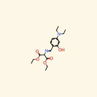 CCOC(=O)C(/N=C/c1ccc(N(CC)CC)cc1O)C(=O)OCC